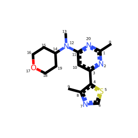 Cc1nc(-c2scnc2C)cc(N(C)C2CCOCC2)n1